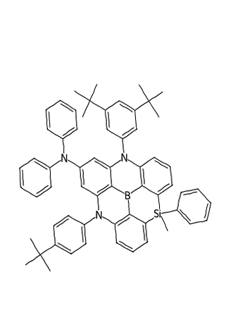 CC(C)(C)c1ccc(N2c3cc(N(c4ccccc4)c4ccccc4)cc4c3B3c5c2cccc5[Si](C)(c2ccccc2)c2cccc(c23)N4c2cc(C(C)(C)C)cc(C(C)(C)C)c2)cc1